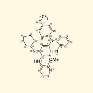 COc1ncccc1Nc1cc2nc3ccccc3n(-c3ccc(OC(F)(F)F)cc3)c-2c/c1=N\C1CCCCC1